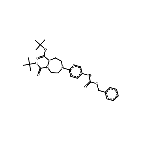 CC(C)(C)OC(=O)N1CCN(c2ccc(NC(=O)OCc3ccccc3)cn2)CCN1C(=O)OC(C)(C)C